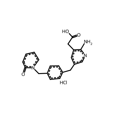 Cl.Nc1ncc(Cc2ccc(Cn3ccccc3=O)cc2)cc1CC(=O)O